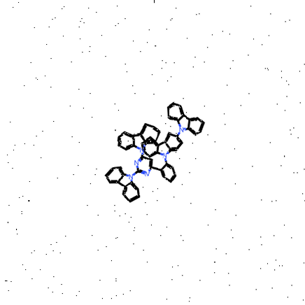 c1ccc(-n2c3ccccc3c3cc(-n4c5ccccc5c5ccccc54)ccc32)c(-c2cc(-n3c4ccccc4c4ccccc43)nc(-n3c4ccccc4c4ccccc43)n2)c1